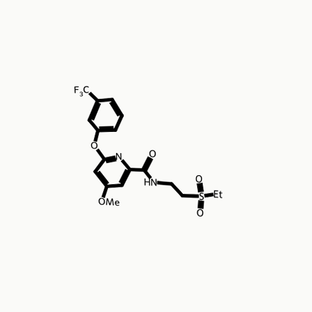 CCS(=O)(=O)CCNC(=O)c1cc(OC)cc(Oc2cccc(C(F)(F)F)c2)n1